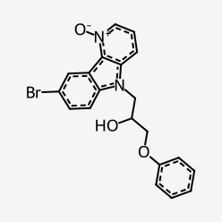 [O-][n+]1cccc2c1c1cc(Br)ccc1n2CC(O)COc1ccccc1